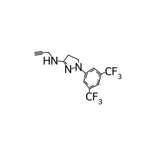 C#CCNC1=NN(c2cc(C(F)(F)F)cc(C(F)(F)F)c2)CC1